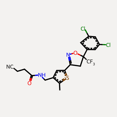 Cc1sc(C2=NOC(c3cc(Cl)cc(Cl)c3)(C(F)(F)F)C2)cc1CNC(=O)CCC#N